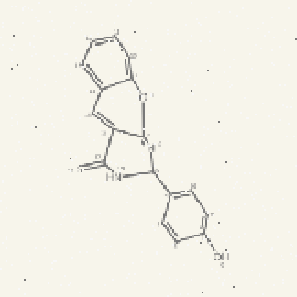 Oc1ccc(C2N=C3Oc4ccccc4C=C3C(=S)N2)cc1